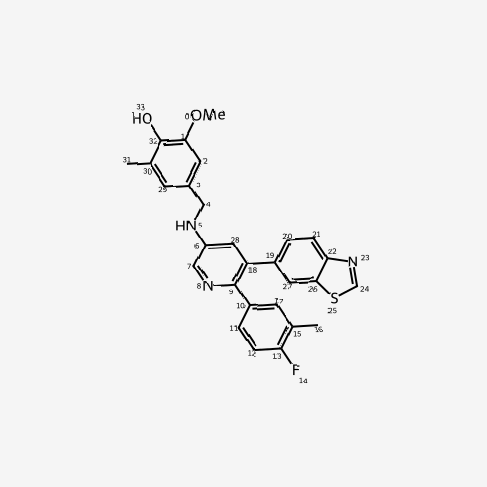 COc1cc(CNc2cnc(-c3ccc(F)c(C)c3)c(-c3ccc4ncsc4c3)c2)cc(C)c1O